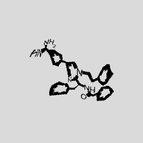 N=C(N)c1ccc(-c2cn(CCc3ccccc3)c([C@H](Cc3ccccc3)NC(=O)c3ccccc3)n2)cc1